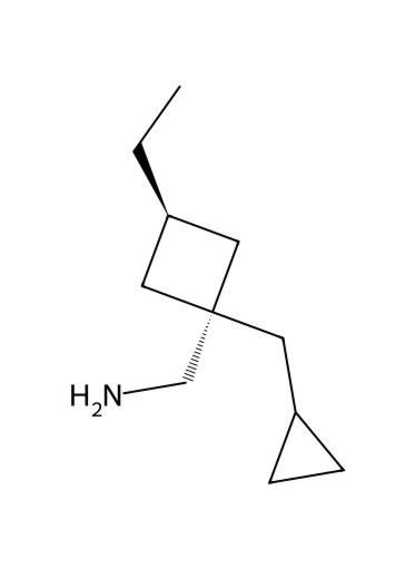 CC[C@H]1C[C@@](CN)(CC2CC2)C1